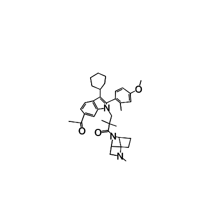 COc1ccc(-c2c(C3CCCCC3)c3ccc(C(C)=O)cc3n2CC(C)(C)C(=O)N2C3CCC34C2CN4C)c(C)c1